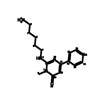 Cn1c(NCCCCCN)nc(-c2ccncc2)cc1=O